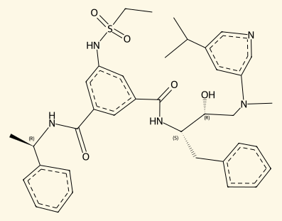 CCS(=O)(=O)Nc1cc(C(=O)N[C@@H](Cc2ccccc2)[C@H](O)CN(C)c2cncc(C(C)C)c2)cc(C(=O)N[C@H](C)c2ccccc2)c1